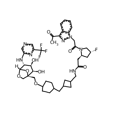 CC(=O)c1nn(CC(=O)N2C[C@H](F)C[C@H]2CC(=O)NCC2CC(CC3CCC(OC[C@@]45CO[C@@H](O4)[C@H](Nc4cncc(C(F)(F)F)n4)[C@@H](O)[C@H]5O)CC3)C2)c2ccccc12